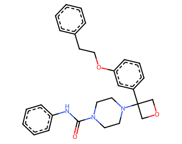 O=C(Nc1ccccc1)N1CCN(C2(c3cccc(OCCc4ccccc4)c3)COC2)CC1